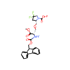 COC(=O)[C@H](COC[C@@H]1CC(F)(F)CN1C(=O)O)NC(=O)OCC1c2ccccc2-c2ccccc21